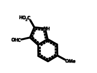 COc1ccc2c(C=O)c(C(=O)O)[nH]c2c1